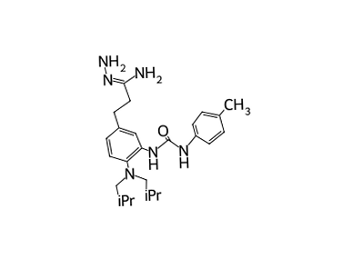 Cc1ccc(NC(=O)Nc2cc(CC/C(N)=N/N)ccc2N(CC(C)C)CC(C)C)cc1